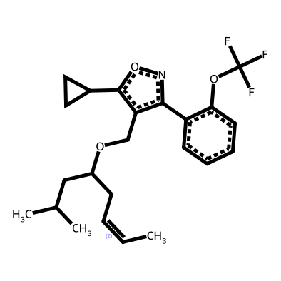 C/C=C\CC(CC(C)C)OCc1c(-c2ccccc2OC(F)(F)F)noc1C1CC1